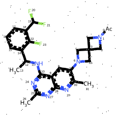 CC(=O)N1CC2(C1)CN(c1cc3c(NC(C)c4cccc(C(F)F)c4F)nc(C)nc3nc1C)C2